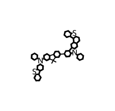 CC1(C)c2cc(-c3ccc4c(c3)c3cc5c(ccc6sc7ccccc7c65)cc3n4-c3ccccc3)ccc2-c2ccc(N(c3ccccc3)c3ccc4c(c3)sc3ccccc34)cc21